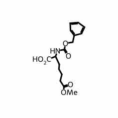 COC(=O)CCCCC(NC(=O)OCc1ccccc1)C(=O)O